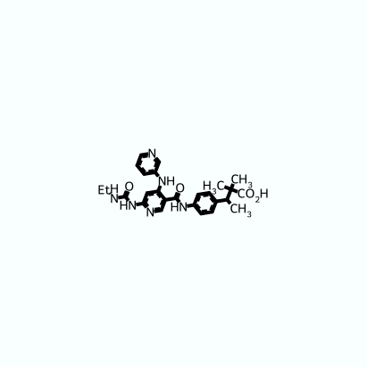 CCNC(=O)Nc1cc(Nc2cccnc2)c(C(=O)Nc2ccc(C(C)C(C)(C)C(=O)O)cc2)cn1